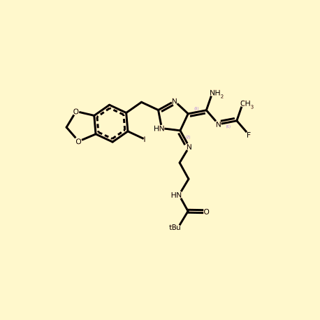 C\C(F)=N/C(N)=C1/N=C(Cc2cc3c(cc2I)OCO3)N/C1=N\CCNC(=O)C(C)(C)C